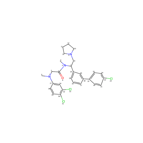 CN(CC(=O)N(C)C(CN1CCCC1)c1cccc(-c2ccc(Cl)cc2)c1)c1ccc(Cl)c(Cl)c1